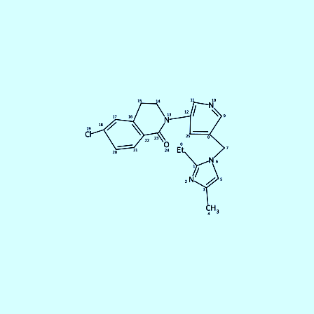 CCc1nc(C)cn1Cc1cncc(N2CCc3cc(Cl)ccc3C2=O)c1